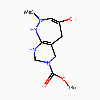 CSN1C=C(O)CC2=C(NCN(C(=O)OC(C)(C)C)C2)N1